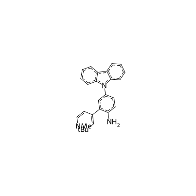 CN/C=C\C(=C/C(C)(C)C)c1cc(-n2c3ccccc3c3ccccc32)ccc1N